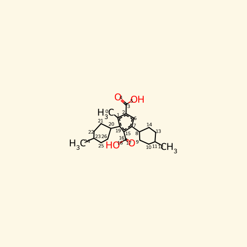 Cc1c(C(=O)O)cc(C2CCC(C)CC2)c(C(=O)O)c1C1CCC(C)CC1